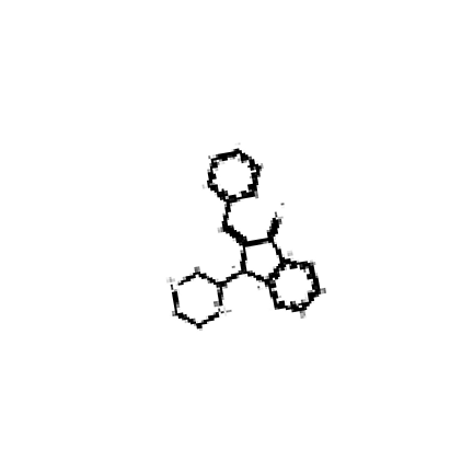 O=C1C(=Cc2ccccc2)C(C2COCCN2)c2ccccc21